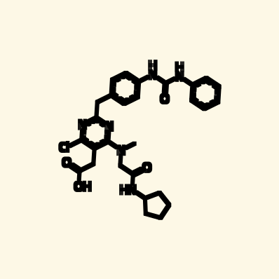 CN(CC(=O)NC1CCCC1)c1nc(Cc2ccc(NC(=O)Nc3ccccc3)cc2)nc(Cl)c1CC(=O)O